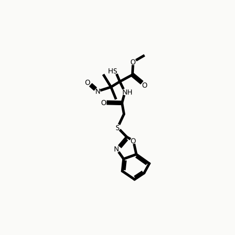 COC(=O)C(S)(NC(=O)CSc1nc2ccccc2o1)C(C)(C)N=O